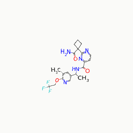 Cc1cc(C(C)NC(=O)c2ccnc(C3(C(N)=O)CCC3)n2)cnc1OCC(F)(F)F